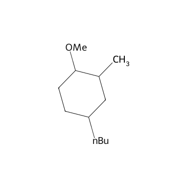 CCCCC1CCC(OC)C(C)C1